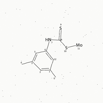 Cc1cc(C)cc(NC(=S)[S][Mo])c1